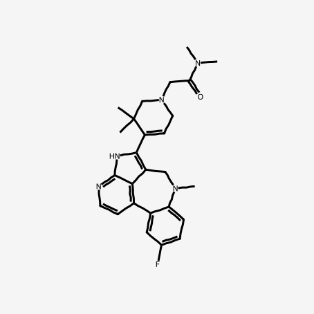 CN(C)C(=O)CN1CC=C(c2[nH]c3nccc4c3c2CN(C)c2ccc(F)cc2-4)C(C)(C)C1